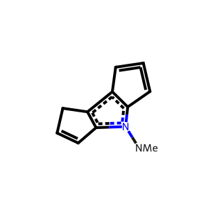 CNn1c2c(c3c1C=CC3)C=C=C2